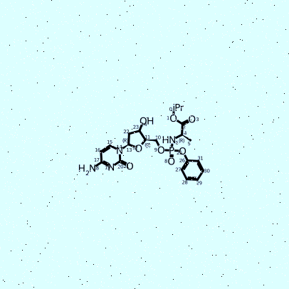 CC(C)OC(=O)[C@@H](C)NP(=O)(OC[C@H]1O[C@@H](n2ccc(N)nc2=O)CC1O)Oc1ccccc1